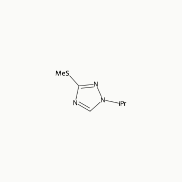 CSc1ncn(C(C)C)n1